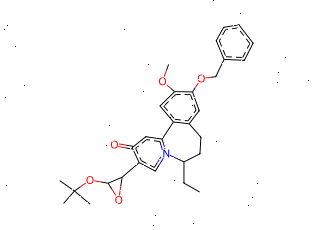 CCC1CCc2cc(OCc3ccccc3)c(OC)cc2-c2cc(=O)c(C3OC3OC(C)(C)C)cn21